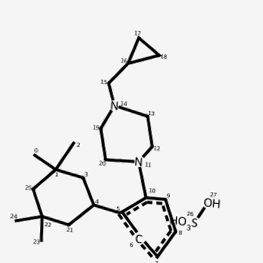 CC1(C)CC(c2ccccc2N2CCN(CC3CC3)CC2)CC(C)(C)C1.O=S(=O)(O)O